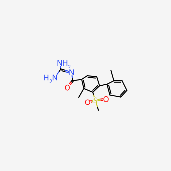 Cc1ccccc1-c1ccc(C(=O)N=C(N)N)c(C)c1S(C)(=O)=O